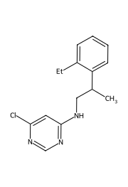 CCc1ccccc1C(C)CNc1cc(Cl)ncn1